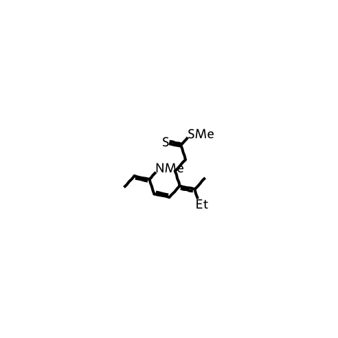 C\C=C(/C=C\C(CCC(=S)SC)=C(\C)CC)NC